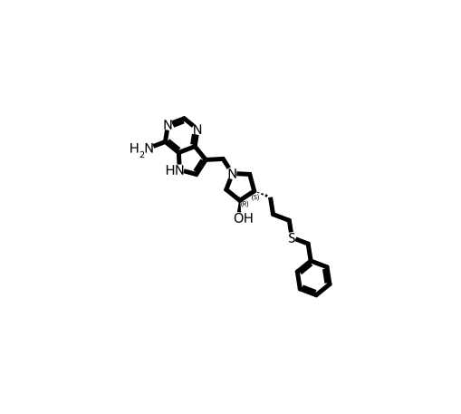 Nc1ncnc2c(CN3C[C@H](CCCSCc4ccccc4)[C@@H](O)C3)c[nH]c12